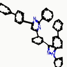 c1ccc(-c2ccc(-c3cc(-c4cccc(-c5nn(-c6ccccc6)c6ccc(-c7ccccc7)cc56)c4)nc(-c4ccccc4)n3)cc2)cc1